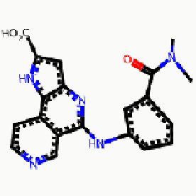 CN(C)C(=O)c1cccc(Nc2nc3cc(C(=O)O)[nH]c3c3ccncc23)c1